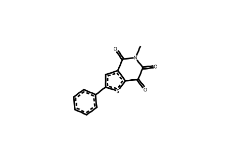 CN1C(=O)C(=O)c2sc(-c3ccccc3)cc2C1=O